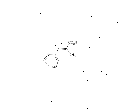 CC(=Cc1ccccn1)C(=O)O